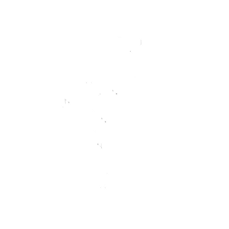 Nc1sc(N2CCS(=O)(=O)CC2)nc1C(=O)NCc1ccccc1C(F)(F)F